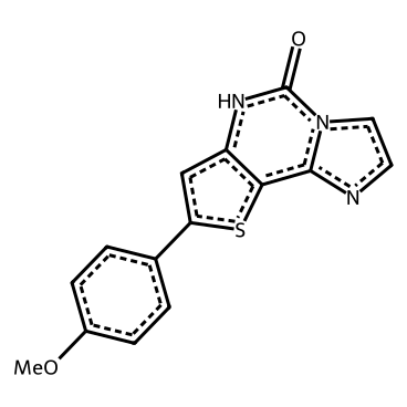 COc1ccc(-c2cc3[nH]c(=O)n4ccnc4c3s2)cc1